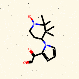 CC1(C)C(n2cccc2C(=O)C=O)CCN(O)C1(C)C